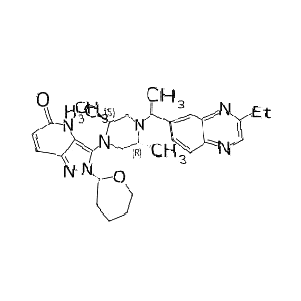 CCc1cnc2ccc(C(C)N3C[C@H](C)N(c4c5c(ccc(=O)n5C)nn4C4CCCCO4)C[C@H]3C)cc2n1